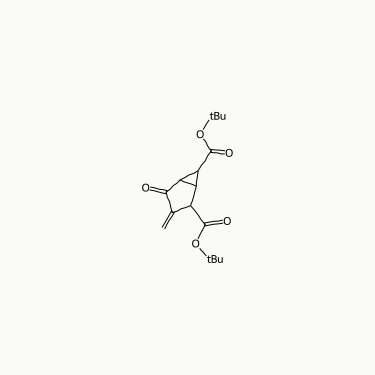 C=C1C(=O)C2C(C(=O)OC(C)(C)C)C2C1C(=O)OC(C)(C)C